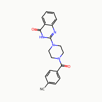 N#Cc1ccc(C(=O)N2CCN(c3nc4ccccc4c(=O)[nH]3)CC2)cc1